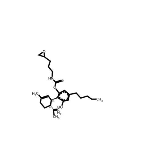 C=C(C)[C@@H]1CCC(C)=C[C@H]1c1c(O)cc(CCCCC)cc1OC(=S)NCCCC1CO1